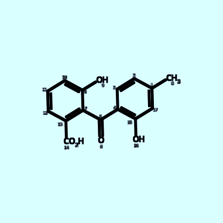 Cc1ccc(C(=O)c2c(O)cccc2C(=O)O)c(O)c1